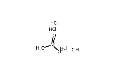 C[N+](=O)[O-].Cl.Cl.Cl.Cl